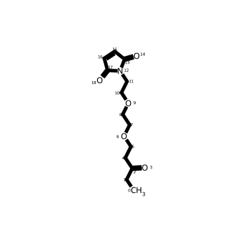 CCC(=O)CCOCCOCCN1C(=O)C=CC1=O